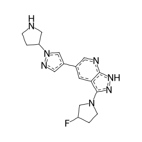 FC1CCN(c2n[nH]c3ncc(-c4cnn(C5CCNC5)c4)cc23)C1